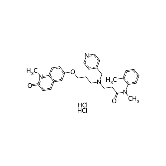 Cc1ccccc1N(C)C(=O)CCN(CCCOc1ccc2c(ccc(=O)n2C)c1)Cc1ccncc1.Cl.Cl